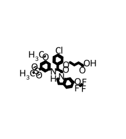 COc1cc(NC(C(=O)N2CCc3ccc(OC(F)(F)F)cc32)c2ccc(Cl)cc2OCCCC(=O)O)cc(S(C)(=O)=O)c1